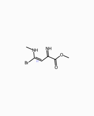 CN/C(Br)=C\C(=N)C(=O)OC